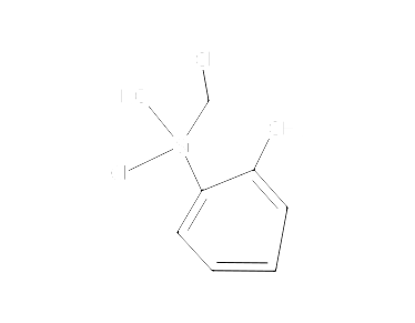 Cc1ccccc1[Si](C)(Cl)CCl